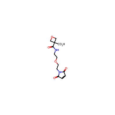 O=C1C=CC(=O)N1CCOCCNC(=O)C1(C(=O)O)COC1